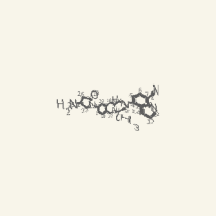 C[C@@H]1CN(c2ccc(C#N)c3ncccc23)C[C@@H]2Cc3cc(N4CC(N)CC4=O)ccc3CN21